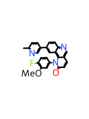 COc1cc(-n2c(=O)ccc3cnc4ccc(-c5ccc(C)nc5)cc4c32)ccc1F